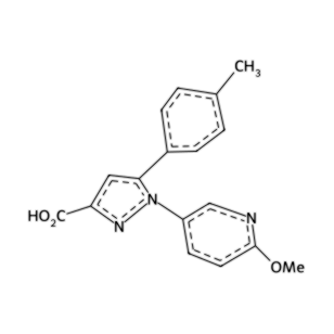 COc1ccc(-n2nc(C(=O)O)cc2-c2ccc(C)cc2)cn1